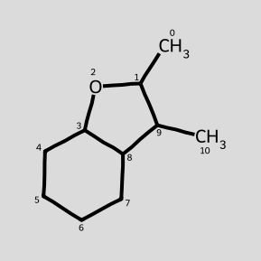 CC1OC2CCCCC2C1C